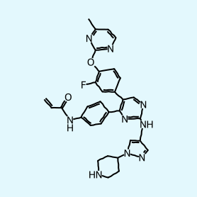 C=CC(=O)Nc1ccc(-c2nc(Nc3cnn(C4CCNCC4)c3)ncc2-c2ccc(Oc3nccc(C)n3)c(F)c2)cc1